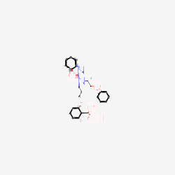 O=C(O)c1ccccc1SCCCN(CCOc1ccccc1)c1nc2ccccc2o1